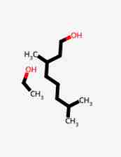 CC(C)CCCC(C)CCO.CCO